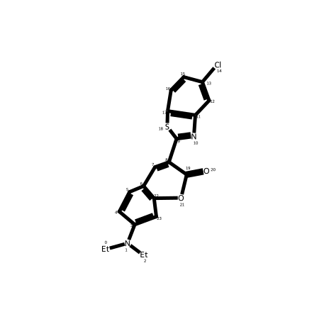 CCN(CC)c1ccc2cc(-c3nc4cc(Cl)ccc4s3)c(=O)oc2c1